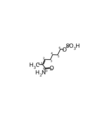 CC(=CCCCCOS(=O)(=O)O)C(N)=O